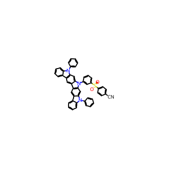 N#Cc1ccc(S(=O)(=O)c2cccc(-n3c4cc5c(cc4c4cc6c7ccccc7n(-c7ccccc7)c6cc43)c3ccccc3n5-c3ccccc3)c2)cc1